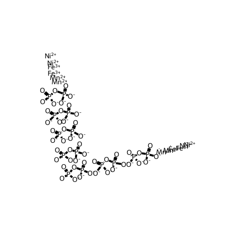 O=P([O-])([O-])OP(=O)([O-])[O-].O=P([O-])([O-])OP(=O)([O-])[O-].O=P([O-])([O-])OP(=O)([O-])[O-].O=P([O-])([O-])OP(=O)([O-])[O-].O=P([O-])([O-])OP(=O)([O-])[O-].O=P([O-])([O-])OP(=O)([O-])[O-].O=P([O-])([O-])OP(=O)([O-])[O-].[Fe+3].[Fe+3].[Fe+3].[Fe+3].[Mn+2].[Mn+2].[Mn+2].[Mn+2].[Ni+2].[Ni+2].[Ni+2].[Ni+2]